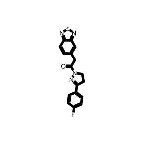 O=C(Cc1ccc2nsnc2c1)N1CCC(c2ccc(F)cc2)=N1